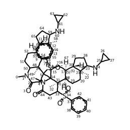 CN1C(=O)CC([S+]([O-])c2ccccc2)(C23CC[C@@H]4[C@@H](CC[C@]5(C)C(NC6CC6)CC[C@@H]45)[C@@]2(C)C(S(=O)(=O)c2ccccc2)CC(=O)N3C)[C@@]2(C)C1CC[C@@H]1[C@H]2CC[C@]2(C)C(NC3CC3)CC[C@@H]12